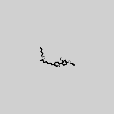 C=CCOc1ccc(-c2ccc(C=CCCCC(C)OCCCCC)cn2)c(F)c1